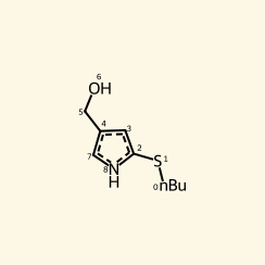 CCCCSc1cc(CO)c[nH]1